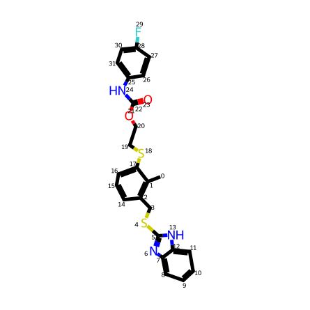 Cc1c(CSc2nc3ccccc3[nH]2)cccc1SCCOC(=O)Nc1ccc(F)cc1